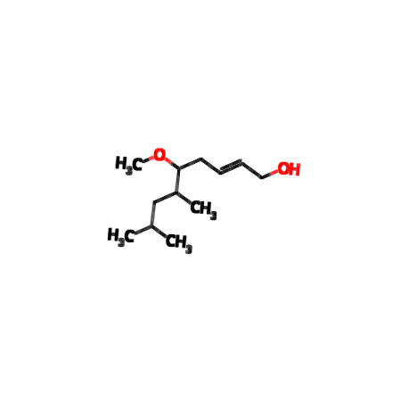 COC(CC=CCO)C(C)CC(C)C